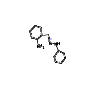 Nc1ccccc1/C=N/Nc1ccccc1